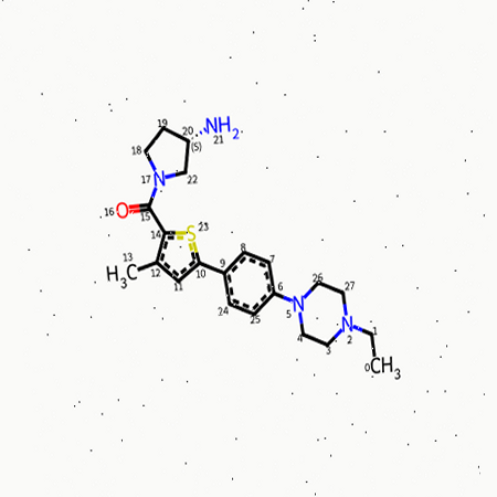 CCN1CCN(c2ccc(-c3cc(C)c(C(=O)N4CC[C@H](N)C4)s3)cc2)CC1